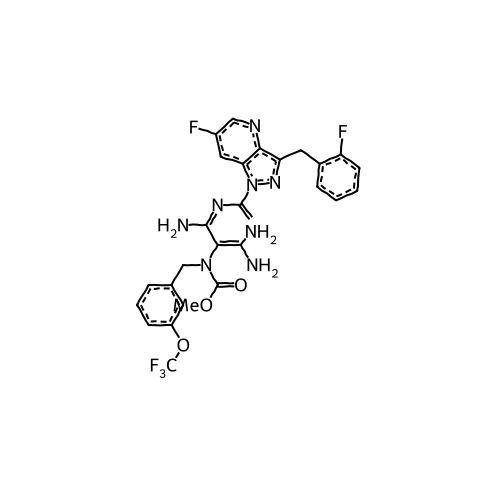 C=C(/N=C(/N)C(=C(N)N)N(Cc1cccc(OC(F)(F)F)c1)C(=O)OC)n1nc(Cc2ccccc2F)c2ncc(F)cc21